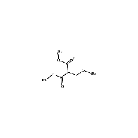 CC(C)(C)OC(=O)C(CSC(C)(C)C)C(=O)OC(C)(C)C